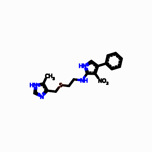 Cc1[nH]cnc1CSCCNc1[nH]cc(-c2ccccc2)c1[N+](=O)[O-]